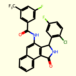 O=C(Nc1cc2ccccc2c2c1C(c1cc(F)ccc1Cl)NC2=O)c1cc(F)cc(C(F)(F)F)c1